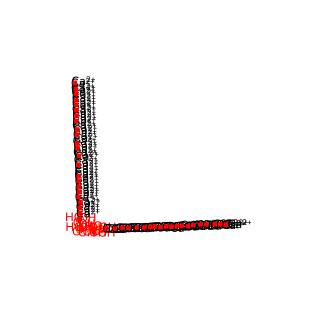 O=P(O)(O)O.O=P(O)(O)O.O=P(O)(O)O.O=P(O)(O)O.[Ca+2].[Ca+2].[Ca+2].[Ca+2].[Ca+2].[Ca+2].[Ca+2].[Ca+2].[Ca+2].[Ca+2].[Ca+2].[Ca+2].[Ca+2].[Ca+2].[Ca+2].[Ca+2].[Ca+2].[Ca+2].[Ca+2].[Ca+2].[Ca+2].[Ca+2].[Ca+2].[Ca+2].[Ca+2].[Ca+2].[Ca+2].[Ca+2].[Ca+2].[Ca+2].[Ca+2].[Ca+2].[Ca+2].[Ca+2].[Ca+2].[Ca+2].[Ca+2].[Ca+2].[Ca+2].[Ca+2].[Ca+2].[Ca+2].[Ca+2].[Ca+2].[Ca+2].[Ca+2].[Ca+2].[Ca+2].[Ca+2].[Ca+2].[Ca+2].[Ca+2].[Ca+2].[Ca+2].[Ca+2].[Ca+2].[Ca+2].[Ca+2].[Ca+2].[Ca+2].[Ca+2].[Ca+2].[Ca+2].[Ca+2].[Ca+2].[Ca+2].[Ca+2].[Ca+2].[Ca+2].[Ca+2].[Ca+2].[Ca+2].[Ca+2].[Ca+2].[Ca+2].[Ca+2].[Ca+2].[Ca+2].[Ca+2].[Ca+2].[Ca+2].[Ca+2].[Ca+2].[Ca+2].[Ca+2].[Ca+2].[Ca+2].[Ca+2].[Ca+2].[Ca+2].[Ca+2].[Ca+2].[Ca+2].[Ca+2].[Ca+2].[Ca+2].[Ca+2]